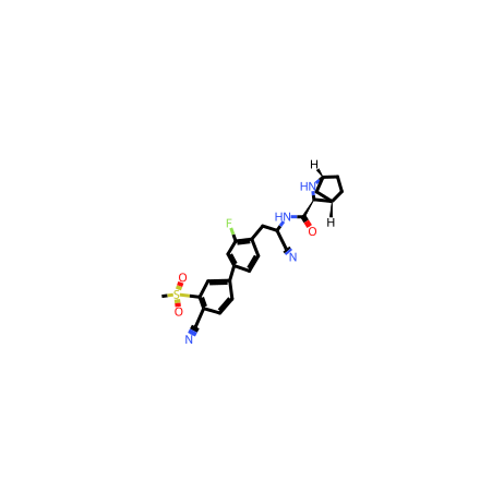 CS(=O)(=O)c1cc(-c2ccc(CC(C#N)NC(=O)[C@H]3N[C@@H]4CC[C@H]3C4)c(F)c2)ccc1C#N